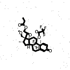 CCC(=O)OCC(=O)[C@@]1(COC)[C@@H](C)C[C@H]2[C@@H]3CCC4=CC(=O)C=C[C@]4(C)[C@@]3(F)[C@@H](OC(=O)C(F)(F)F)C[C@@]21C